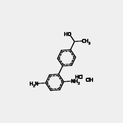 CC(O)c1ccc(-c2cc(N)ccc2N)cc1.Cl.Cl